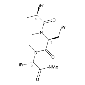 CNC(=O)[C@H](C(C)C)N(C)C(=O)[C@H](CC(C)C)N(C)C(=O)[C@@H](C)C(C)C